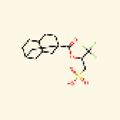 O=C(OC(CS(=O)(=O)O)C(F)(F)F)C12CCC3CCC(CC3C1)C2